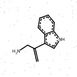 C=C(CN)c1c[nH]c2ccccc12